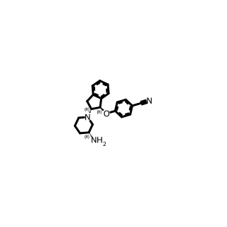 N#Cc1ccc(O[C@@H]2c3ccccc3C[C@H]2N2CCC[C@@H](N)C2)cc1